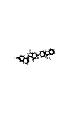 N[C@@H]1c2ccccc2CC12CCN(c1nc3[nH]nc(C4=CCOc5cc(Cl)ccc54)c3c(=O)[nH]1)CC2